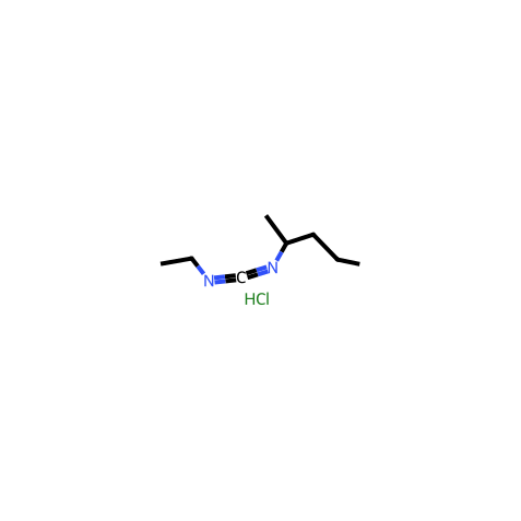 CCCC(C)N=C=NCC.Cl